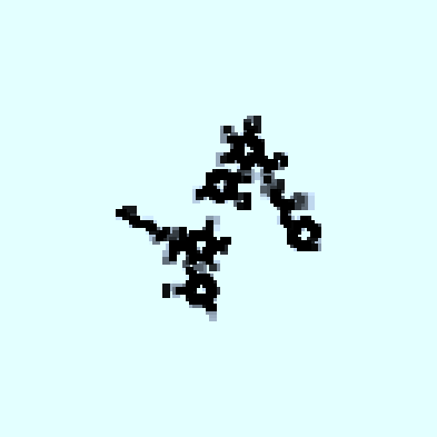 COCCONC(=O)c1cc(Cl)c(F)c(F)c1Nc1ccc(I)cc1Cl.O=C(NOCC(O)CN1CCOCC1)c1cc(Cl)c(F)c(F)c1Nc1ccc(I)cc1Cl